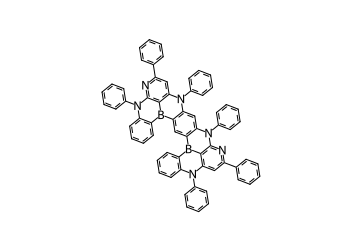 c1ccc(-c2cc3c4c(n2)N(c2ccccc2)c2ccccc2B4c2cc4c(cc2N3c2ccccc2)N(c2ccccc2)c2nc(-c3ccccc3)cc3c2B4c2ccccc2N3c2ccccc2)cc1